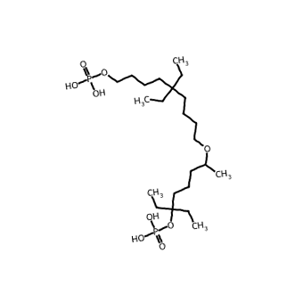 CCC(CC)(CCCCOC(C)CCCC(CC)(CC)OP(=O)(O)O)CCCCOP(=O)(O)O